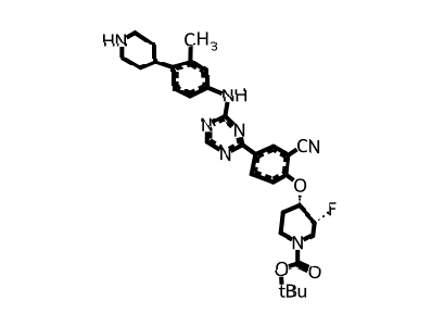 Cc1cc(Nc2ncnc(-c3ccc(O[C@H]4CCN(C(=O)OC(C)(C)C)C[C@H]4F)c(C#N)c3)n2)ccc1C1CCNCC1